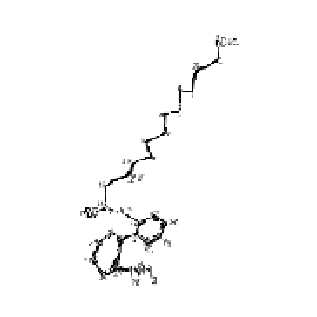 CCCCCCCCCCCCCCCCCCCCCC[P](CCCC)[Pd][c]1ccccc1-c1ccccc1N